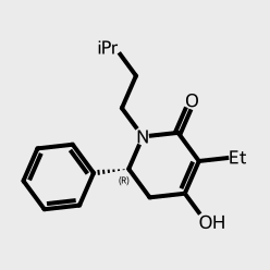 CCC1=C(O)C[C@H](c2ccccc2)N(CCC(C)C)C1=O